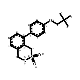 CC(C)(C)COc1ccc(-c2cccc3c2CS(=O)(=O)NC3)cc1